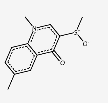 Cc1ccc2c(c1)c(=O)c([S+](C)[O-])cn2C